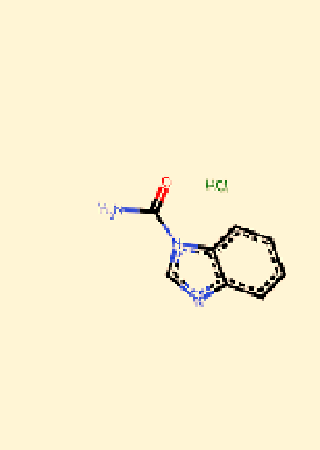 Cl.NC(=O)n1cnc2ccccc21